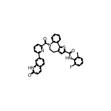 Cc1cccc(F)c1NC(=O)c1cc2c(s1)-c1ccccc1N(C(=O)c1cccc(-c3ccc4ccc(=O)[nH]c4c3)n1)CC2